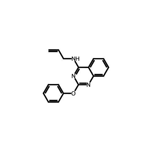 C=CCNc1nc(Oc2ccccc2)nc2ccccc12